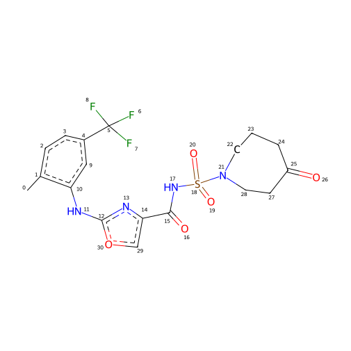 Cc1ccc(C(F)(F)F)cc1Nc1nc(C(=O)NS(=O)(=O)N2CCCC(=O)CC2)co1